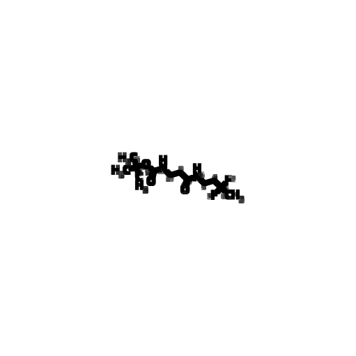 CC(F)(F)CCNC(=O)CCNC(=O)OC(C)(C)C